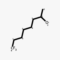 CC([O])CCCCCC(F)(F)F